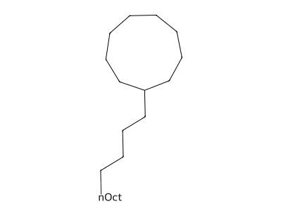 [CH2]CCCCCCCCCCCC1CCCCCCCC1